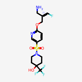 NC/C(=C/F)COc1ccc(S(=O)(=O)N2CCC(O)(C(F)(F)F)CC2)cn1